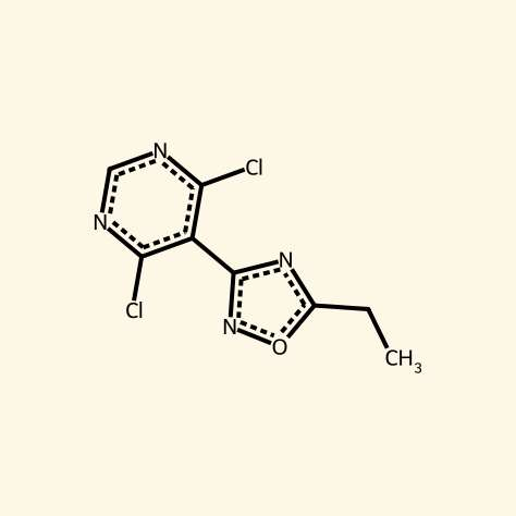 CCc1nc(-c2c(Cl)ncnc2Cl)no1